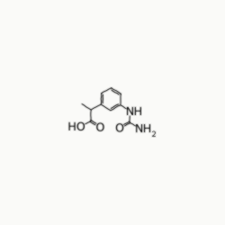 CC(C(=O)O)c1cccc(NC(N)=O)c1